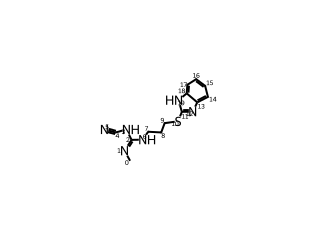 C/N=C(/NC#N)NCCCSc1nc2ccccc2[nH]1